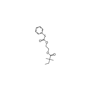 CCC(C)(C)C(=O)OCCOC(=O)Sc1ccccc1